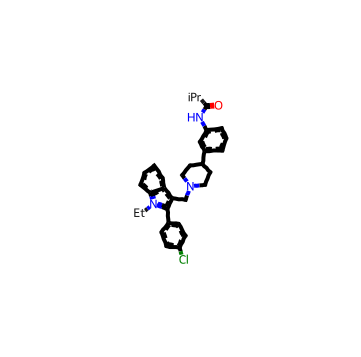 CCn1c(-c2ccc(Cl)cc2)c(CN2CCC(c3cccc(NC(=O)C(C)C)c3)CC2)c2ccccc21